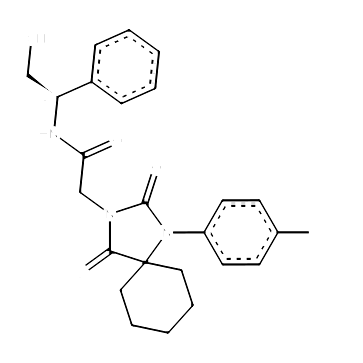 CC[C@H](NC(=O)CN1C(=O)N(c2ccc(C)cc2)C2(CCCCC2)C1=O)c1ccccc1